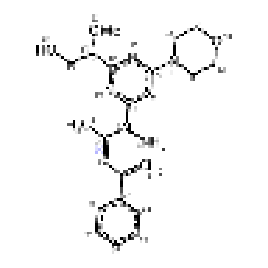 C=C(/C=C(/C)N(N)c1cc(N2CCOCC2)nc([C@H](CO)OC)n1)c1ccccc1